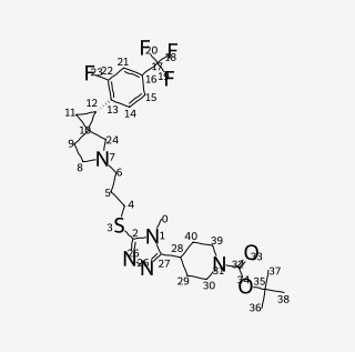 Cn1c(SCCCN2CCC3(C[C@@H]3c3ccc(C(F)(F)F)cc3F)C2)nnc1C1CCN(C(=O)OC(C)(C)C)CC1